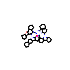 c1ccc(C2N=C(c3cccc4c5ccccc5n(-c5ccccc5)c34)N=C(c3c(-n4c5ccccc5c5cc6ccccc6cc54)c4c5ccccc5oc4c4ccccc34)N2)cc1